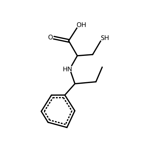 CCC(NC(CS)C(=O)O)c1ccccc1